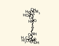 CC(C)(C)SC(CCC(=O)NCCSSCCNC(=O)CC(SC(C)(C)C)C(=O)C(=O)O)C(=O)C(=O)O